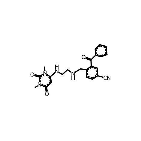 Cn1c(NCCNCc2ccc(C#N)cc2C(=O)c2ccccc2)cc(=O)n(C)c1=O